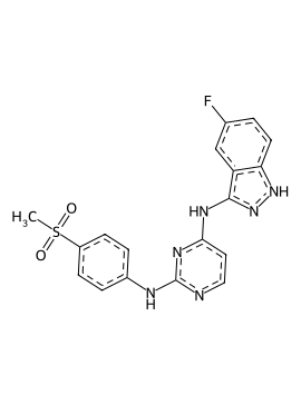 CS(=O)(=O)c1ccc(Nc2nccc(Nc3n[nH]c4ccc(F)cc34)n2)cc1